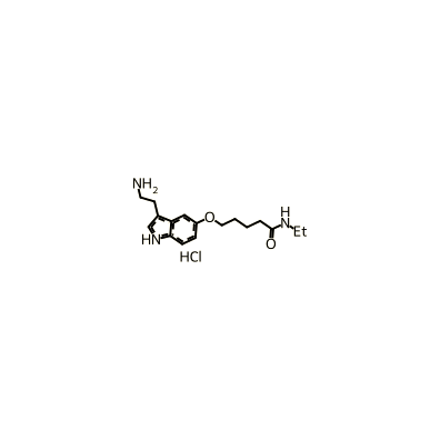 CCNC(=O)CCCCOc1ccc2[nH]cc(CCN)c2c1.Cl